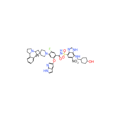 CC(C)c1ccccc1C1CCCN1C1CC2(CCN(c3cc(Oc4cnc5[nH]ccc5c4)c(C(=O)NS(=O)(=O)c4cc([N+](=O)[O-])c(NCC5CCC(O)CC5)c5[nH]cnc45)cc3F)CC2)C1